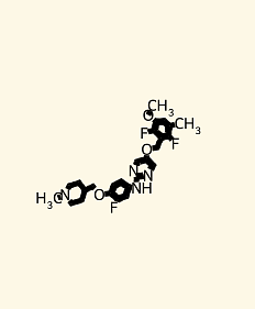 COc1cc(C)c(F)c(COc2cnc(Nc3ccc(OCC4CCN(C)CC4)c(F)c3)nc2)c1F